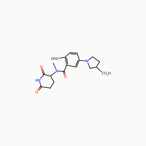 CN(C(=O)c1cc(N2CCC(C(=O)O)C2)ccc1C=O)C1CCC(=O)NC1=O